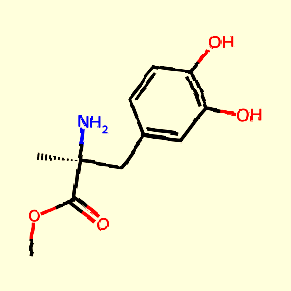 COC(=O)[C@@](C)(N)Cc1ccc(O)c(O)c1